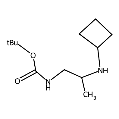 CC(CNC(=O)OC(C)(C)C)NC1CCC1